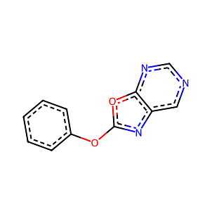 c1ccc(Oc2nc3cncnc3o2)cc1